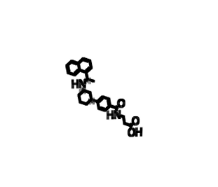 C[C@@H](N[C@H]1CCC[C@H](c2ccc(C(=O)NCCC(=O)O)cc2)C1)c1cccc2ccccc12